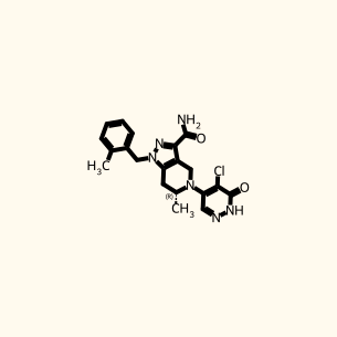 Cc1ccccc1Cn1nc(C(N)=O)c2c1C[C@@H](C)N(c1cn[nH]c(=O)c1Cl)C2